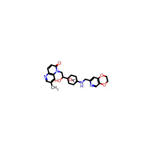 Cc1cnc2ccc(=O)n(CC(O)C34CCC(NCc5cc6c(cn5)OCCO6)(CC3)CO4)c2c1